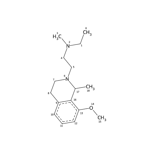 CCN(C)CCN1CCc2cccc(OC)c2C1C